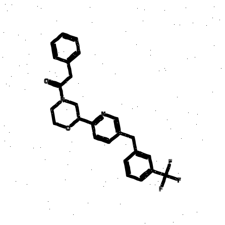 O=C(Cc1ccccc1)N1CCOC(c2ccc(Cc3cccc(C(F)(F)F)c3)cn2)C1